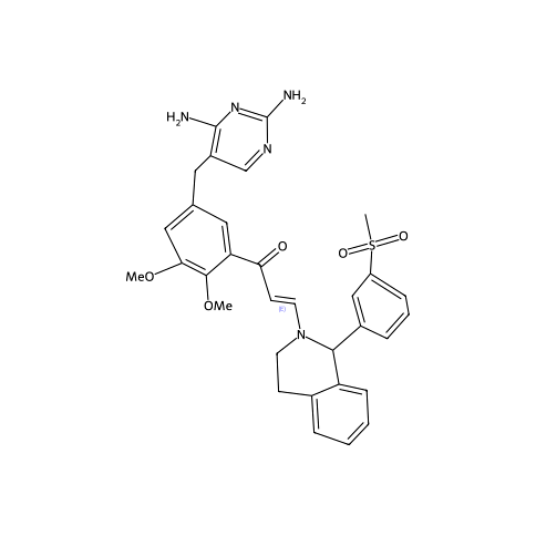 COc1cc(Cc2cnc(N)nc2N)cc(C(=O)/C=C/N2CCc3ccccc3C2c2cccc(S(C)(=O)=O)c2)c1OC